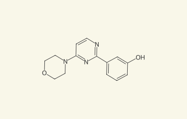 Oc1cccc(-c2nccc(N3CCOCC3)n2)c1